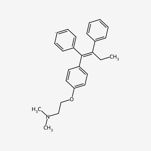 CC/C(=C(/c1cc[c]cc1)c1ccc(OCCN(C)C)cc1)c1ccccc1